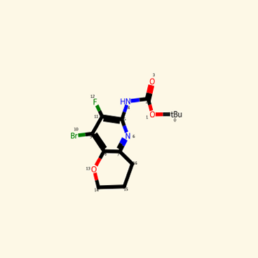 CC(C)(C)OC(=O)Nc1nc2c(c(Br)c1F)OCCC2